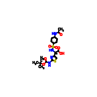 CC(=O)Nc1ccc(S(=O)(=O)N[C@@H](C(=O)O)c2csc(NC(=O)OC(C)(C)C)n2)cc1